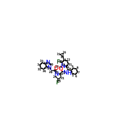 O=C(NC(c1ccccc1)c1ccc(C2CC2)c(F)n1)C1CC(F)CN1C(=O)Cn1cnc2ccccc21